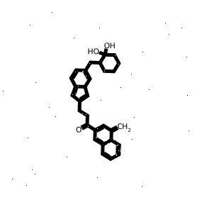 C=C1C=C(C(=O)CCC2=CC3C=C(CC4CCCCC4(O)O)C=CC3=C2)C=C2C=CC=CC12